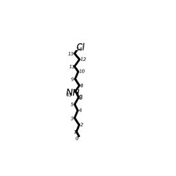 CCCCCCCCCCCCCCCl.N